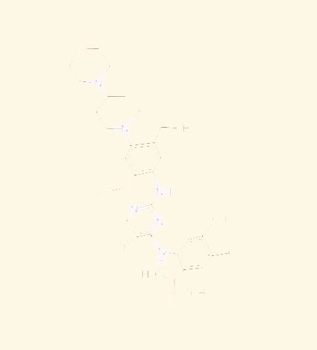 CCc1cc(Nc2ncc(Cl)c(Nc3cc(C)c(C)cc3P(C)(C)=O)n2)c(OC)cc1N1CCC(N2CCOCC2)CC1